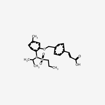 CCCS(=O)(=O)N(c1ccc(C)cc1OCc1ccc(C=CC(=O)O)cc1)C(C)C